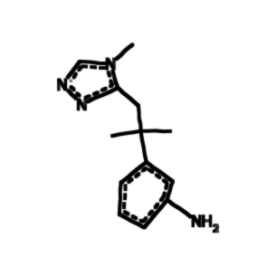 Cn1cnnc1CC(C)(C)c1cccc(N)c1